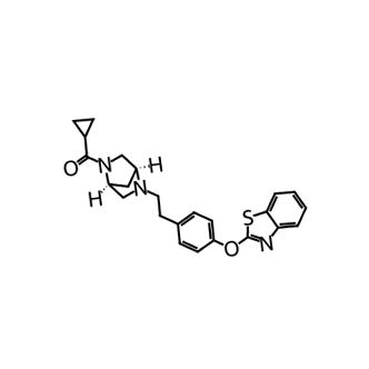 O=C(C1CC1)N1C[C@@H]2C[C@H]1CN2CCc1ccc(Oc2nc3ccccc3s2)cc1